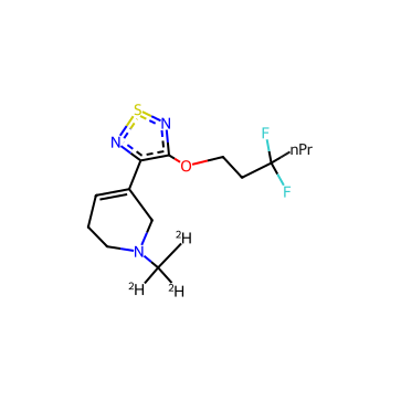 [2H]C([2H])([2H])N1CCC=C(c2nsnc2OCCC(F)(F)CCC)C1